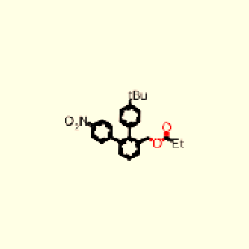 CCC(=O)OCc1cccc(-c2ccc([N+](=O)[O-])cc2)c1-c1ccc(C(C)(C)C)cc1